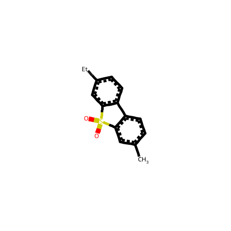 CCc1ccc2c(c1)S(=O)(=O)c1cc(C)ccc1-2